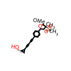 COC(=O)C(C)(CCc1ccc(C#CC#CC2C[C@@H]2CO)cc1)S(C)(=O)=O